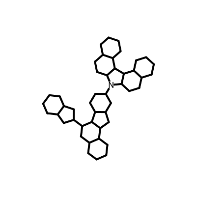 C1CCC2CC(C3CC4CCCCC4C4CC5CC(N6C7CCC8CCCCC8C7C7C8CCCCC8CCC76)CCC5C34)CC2C1